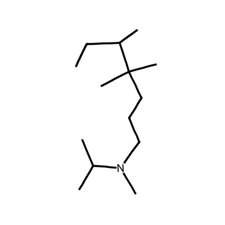 CCC(C)C(C)(C)CCCN(C)C(C)C